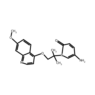 COc1ccc2c(OCC(C)(C)n3cc(N)ccc3=O)ccnc2c1